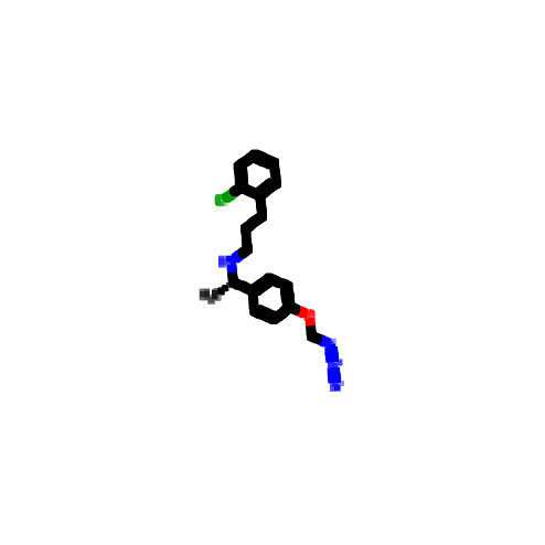 C[C@H](NCCCc1ccccc1Cl)c1ccc(OCN=[N+]=[N-])cc1